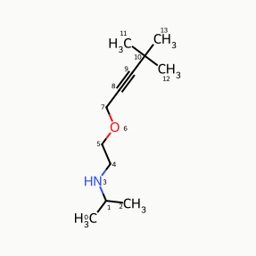 CC(C)NCCOCC#CC(C)(C)C